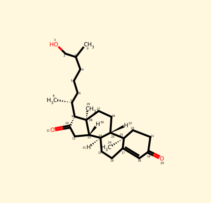 CC(CO)CCC[C@@H](C)[C@H]1C(=O)C[C@H]2[C@@H]3CCC4=CC(=O)CC[C@]4(C)[C@H]3CC[C@]12C